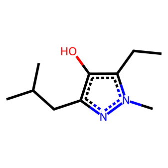 CCc1c(O)c(CC(C)C)nn1C